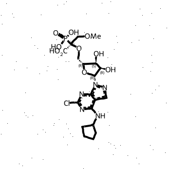 COC[C@](OC[C@H]1O[C@@H](n2ncc3c(NC4CCCC4)nc(Cl)nc32)[C@H](O)[C@@H]1O)(C(=O)O)P(=O)(O)O